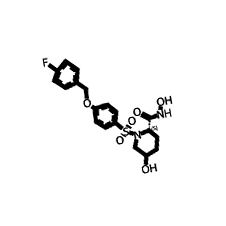 O=C(NO)[C@@H]1CCC(O)CN1S(=O)(=O)c1ccc(OCc2ccc(F)cc2)cc1